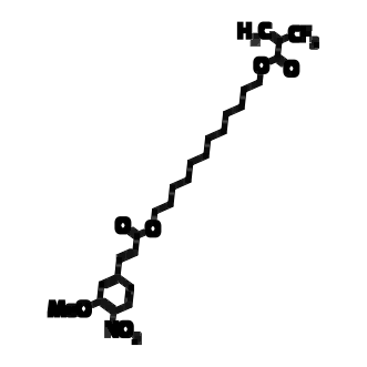 C=C(C(=O)OCCCCCCCCCCCCOC(=O)/C=C/c1ccc([N+](=O)[O-])c(OC)c1)C(F)(F)F